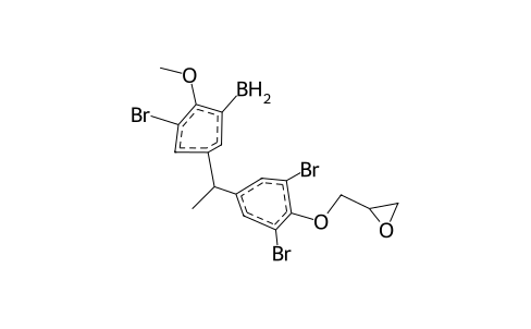 Bc1cc(C(C)c2cc(Br)c(OCC3CO3)c(Br)c2)cc(Br)c1OC